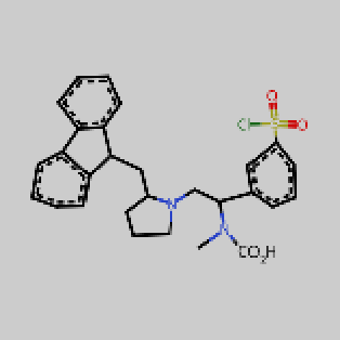 CN(C(=O)O)C(CN1CCCC1CC1c2ccccc2-c2ccccc21)c1cccc(S(=O)(=O)Cl)c1